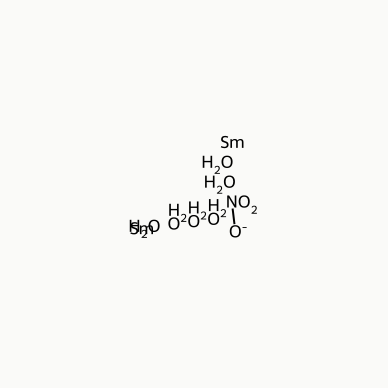 O.O.O.O.O.O.O=[N+]([O-])[O-].[Sm].[Sm]